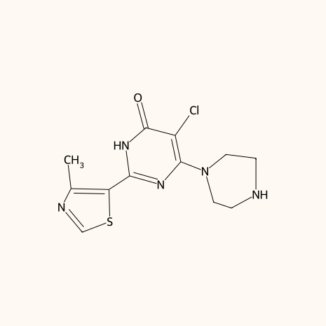 Cc1ncsc1-c1nc(N2CCNCC2)c(Cl)c(=O)[nH]1